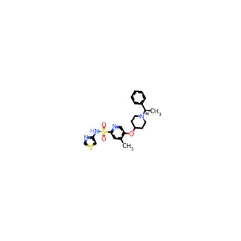 Cc1cc(S(=O)(=O)Nc2cscn2)ncc1OC1CCN([C@H](C)c2ccccc2)CC1